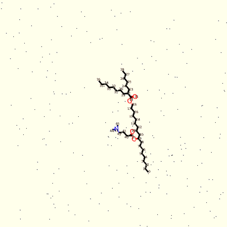 [CH2]CCCCCCCCC(CCCCCCCCCOC(=O)C(CCCCCC)CCCCCCCC)OC(=O)CCCN(C)C